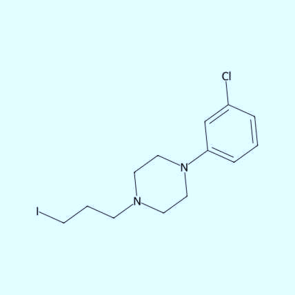 Clc1cccc(N2CCN(CCCI)CC2)c1